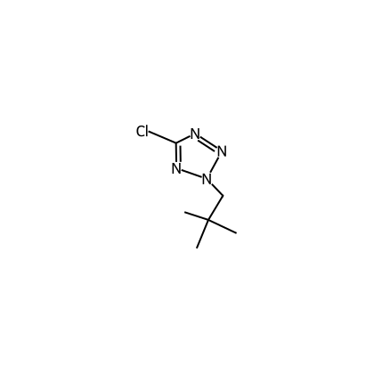 CC(C)(C)Cn1nnc(Cl)n1